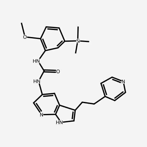 COc1ccc([Si](C)(C)C)cc1NC(=O)Nc1cnc2[nH]cc(CCc3ccncc3)c2c1